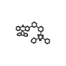 c1ccc(-c2nc(-c3ccccc3)nc(-c3cccc(-c4cccc(-c5ccc6c(c5)Sc5ccccc5C65c6ccccc6-c6ccccc65)c4)c3)n2)cc1